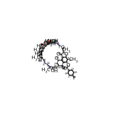 CO[C@H]1/C=C/O[C@@]2(C)Oc3c(C)c(OC(=O)c4ccc(F)cc4)c4c(c3C2=O)C(=O)C=C(NC(=O)/C(C)=C/C=C/[C@H](C)[C@H](O)[C@@H](C)[C@@H](O)[C@@H](C)[C@H](C)[C@@H]1C)C4=O